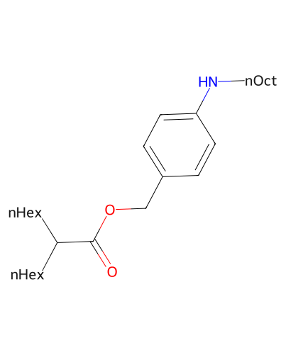 CCCCCCCCNc1ccc(COC(=O)C(CCCCCC)CCCCCC)cc1